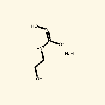 [NaH].[O-]/[N+](=N/O)NCCO